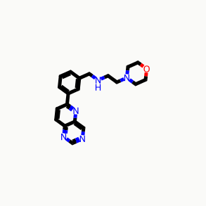 c1cc(CNCCN2CCOCC2)cc(-c2ccc3ncncc3n2)c1